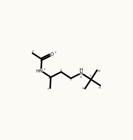 CC(=O)NC(C)CCNC(C)(C)C